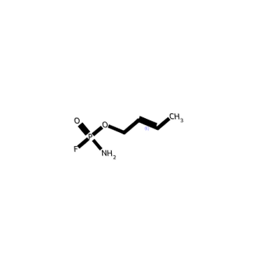 C/C=C/COP(N)(=O)F